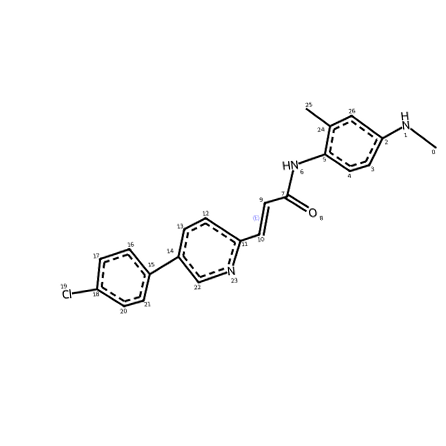 CNc1ccc(NC(=O)/C=C/c2ccc(-c3ccc(Cl)cc3)cn2)c(C)c1